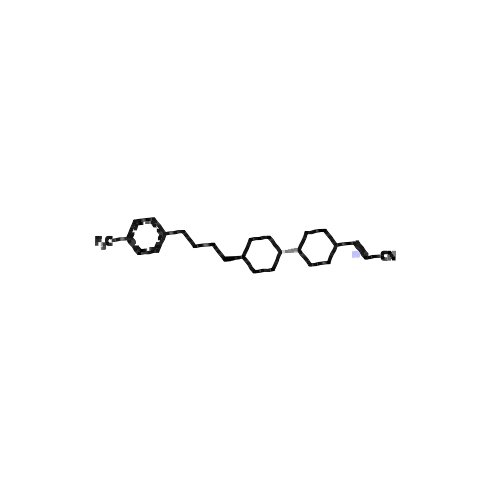 N#C/C=C/C1CCC([C@H]2CC[C@H](CCCCc3ccc(C(F)(F)F)cc3)CC2)CC1